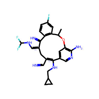 CC1Oc2cc(cnc2N)/C(NCC2CC2)=C(/C=N)C/C(=C/NC(F)F)C(=N)c2ccc(F)cc21